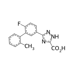 Cc1ccccc1-c1cc(-c2n[nH]c(C(=O)O)n2)ccc1F